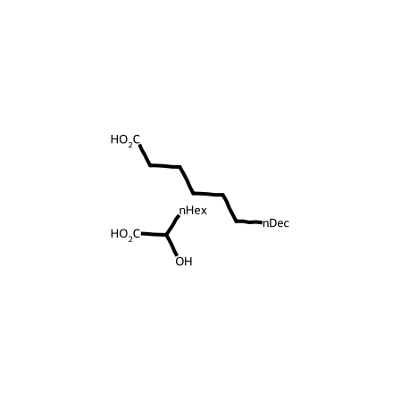 CCCCCCC(O)C(=O)O.CCCCCCCCCCCCCCCC(=O)O